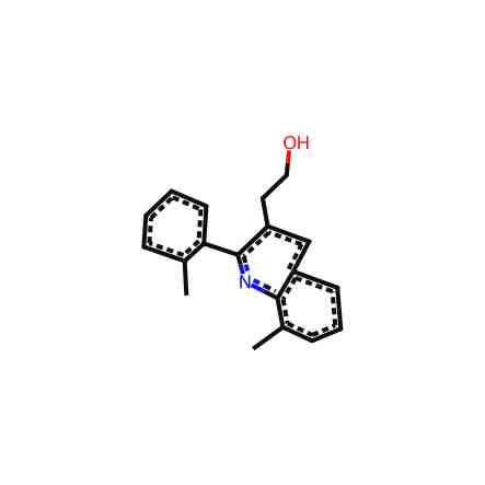 Cc1ccccc1-c1nc2c(C)cccc2cc1CCO